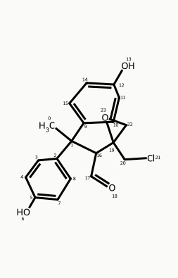 CC(c1ccc(O)cc1)(c1ccc(O)cc1)C(C=O)C1(CCl)CO1